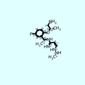 CNN/C=C\C(=N)N[C@H](C)c1cc(F)ccc1O[C@@H](C)CN